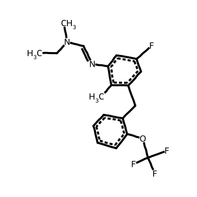 CCN(C)/C=N/c1cc(F)cc(Cc2ccccc2OC(F)(F)F)c1C